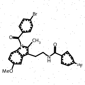 COc1ccc2c(c1)c(CCNC(=O)c1ccc([18F])cc1)c(C)n2C(=O)c1ccc(Br)cc1